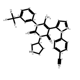 Cc1c(-c2ccnn2-c2ccc(C#N)cc2)c(=O)n(C2CCNC2)c(=O)n1-c1cccc(C(F)(F)F)c1